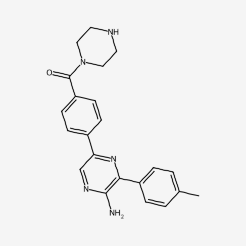 Cc1ccc(-c2nc(-c3ccc(C(=O)N4CCNCC4)cc3)cnc2N)cc1